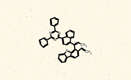 C=Cc1ccc2c(sc3ccccc32)c1/C(=C\C)c1ccc(-c2nc(-c3ccccc3)nc(-c3ccccc3)n2)c2ccccc12